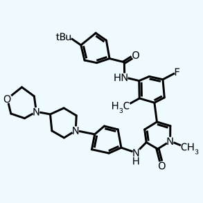 Cc1c(NC(=O)c2ccc(C(C)(C)C)cc2)cc(F)cc1-c1cc(Nc2ccc(N3CCC(N4CCOCC4)CC3)cc2)c(=O)n(C)c1